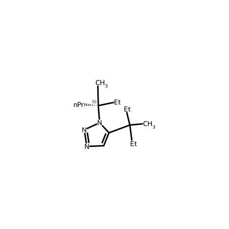 CCC[C@](C)(CC)n1nncc1C(C)(CC)CC